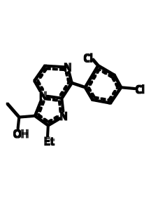 CCc1nc2c(-c3ccc(Cl)cc3Cl)nccn2c1C(C)O